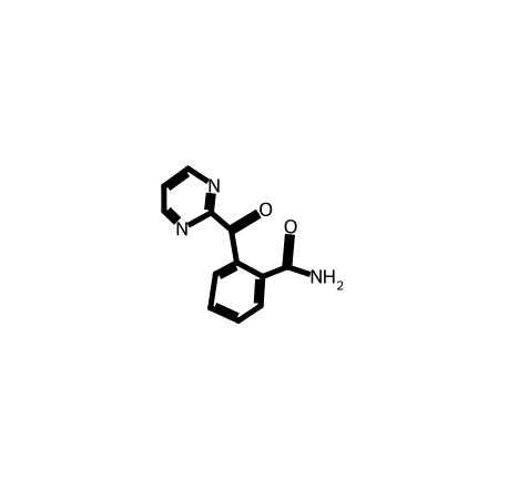 NC(=O)c1ccccc1C(=O)c1ncccn1